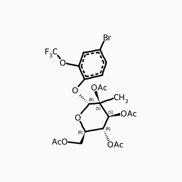 CC(=O)OC[C@H]1O[C@H](Oc2ccc(Br)cc2OC(F)(F)F)[C@@](C)(OC(C)=O)[C@@H](OC(C)=O)[C@@H]1OC(C)=O